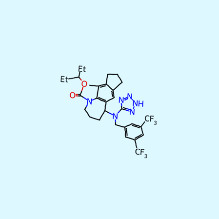 CCC(CC)OC(=O)N1CCCC(N(Cc2cc(C(F)(F)F)cc(C(F)(F)F)c2)c2nn[nH]n2)c2cc3c(c(C)c21)CCC3